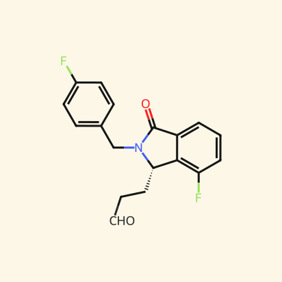 O=CCC[C@H]1c2c(F)cccc2C(=O)N1Cc1ccc(F)cc1